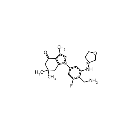 Cc1cn(-c2cc(F)c(CN)c(N[C@H]3CCOC3)c2)c2c1C(=O)CC(C)(C)C2